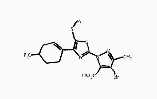 Cc1nn(-c2nc(C3=CCC(C(F)(F)F)CC3)c(SC(C)C)s2)c(C(=O)O)c1Br